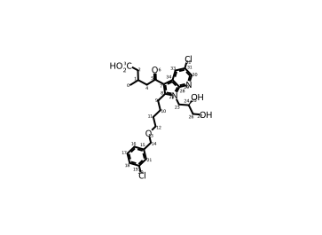 CC(CC(=O)O)CC(=O)c1c(CCCCOCc2cccc(Cl)c2)n(C[C@@H](O)CO)c2ncc(Cl)cc12